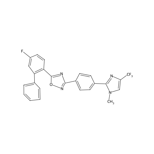 Cn1cc(C(F)(F)F)nc1-c1ccc(-c2noc(-c3ccc(F)cc3-c3ccccc3)n2)cc1